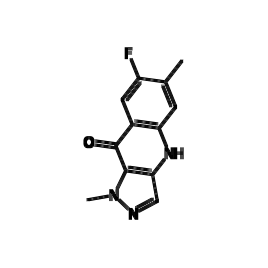 Cc1cc2[nH]c3cnn(C)c3c(=O)c2cc1F